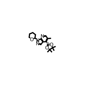 Cc1cnc2c(cnn2C2CCCCO2)c1B1OC(C)(C)C(C)(C)O1